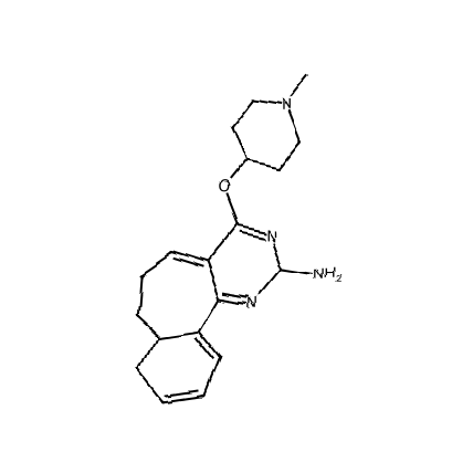 CN1CCC(OC2=NC(N)N=C3C2=CCCC2CC=CC=C32)CC1